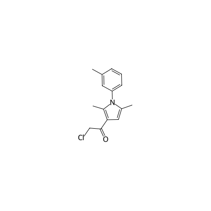 Cc1cccc(-n2c(C)cc(C(=O)CCl)c2C)c1